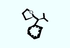 CC(C)[C@@H](c1ccccc1)[C@H]1CCCO1